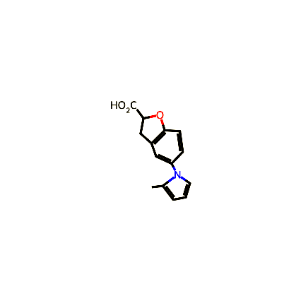 Cc1cccn1-c1ccc2c(c1)CC(C(=O)O)O2